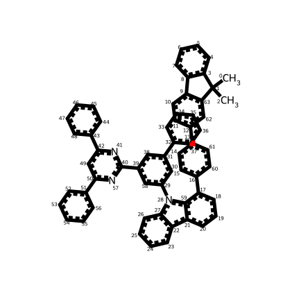 CC1(C)c2ccccc2-c2ccc(-c3ccc(-c4cccc5c6ccccc6n(-c6cc(-c7ccccc7)cc(-c7nc(-c8ccccc8)cc(-c8ccccc8)n7)c6)c45)cc3)cc21